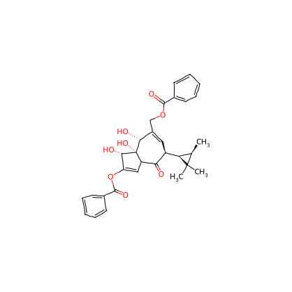 C[C@@H]1[C@H]([C@@H]2C=C(COC(=O)c3ccccc3)[C@@H](O)[C@@]3(O)C(C=C(OC(=O)c4ccccc4)[C@@H]3O)C2=O)C1(C)C